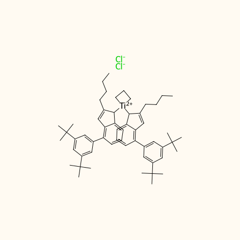 CCCCC1=Cc2c(-c3cc(C(C)(C)C)cc(C(C)(C)C)c3)cccc2[CH]1[Ti+2]1([CH]2C(CCCC)=Cc3c(-c4cc(C(C)(C)C)cc(C(C)(C)C)c4)cccc32)[CH2]C[CH2]1.[Cl-].[Cl-]